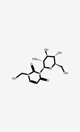 O=c1ccn(CO)c(=O)n1[C@@H]1O[C@H](CO)[C@@H](O)[C@H](O)[C@H]1O